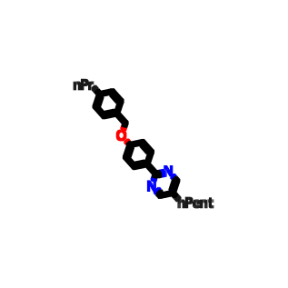 CCCCCc1cnc(-c2ccc(OCc3ccc(CCC)cc3)cc2)nc1